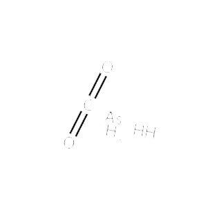 O=C=O.[AsH3].[HH]